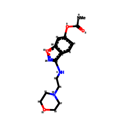 CNC(=O)Oc1ccc2c(NCCN3CCOCC3)noc2c1